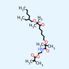 C=C(C)C(=O)OCCNC(=O)C(C)(C)OCCCCCC(=O)C(C)(C)OCC(CC)CCCC